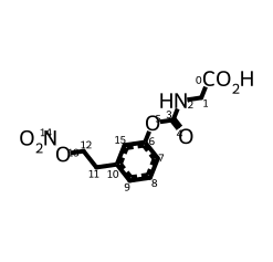 O=C(O)CNC(=O)Oc1cccc(CCO[N+](=O)[O-])c1